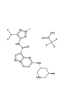 Cn1cc(NC(=O)c2cnn3ccc(N[C@H]4CNC[C@H](F)C4)nc23)c(C(F)F)n1.O=C(O)C(F)(F)F